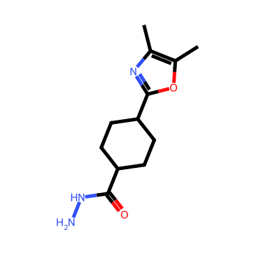 Cc1nc(C2CCC(C(=O)NN)CC2)oc1C